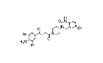 Nc1c(Br)cc(C(=O)CCC(=O)N2CCC(N3Cc4cc(O)ccc4NC3=O)CC2)cc1Br